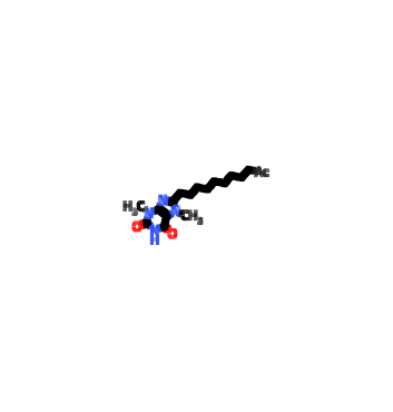 CC(=O)CCCCCCCCCc1nc2c(c(=O)[nH]c(=O)n2C)n1C